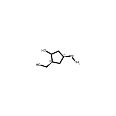 NB[C@@H]1CC(O)[C@H](CO)C1